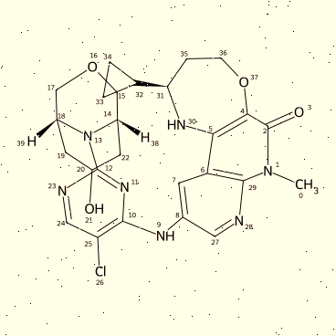 Cn1c(=O)c2c(c3cc(Nc4nc(N5[C@@H]6COC[C@H]5CC(O)C6)ncc4Cl)cnc31)N[C@@H](C1CC1)CCO2